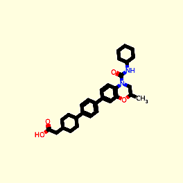 CC1CN(C(=O)NC2CCCCC2)c2ccc(-c3ccc(C4CCC(CC(=O)O)CC4)cc3)cc2O1